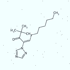 CCCCCCCC=C(C(=O)C(C)(C)C)n1cncn1